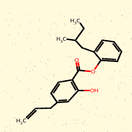 C=CCc1ccc(C(=O)Oc2ccccc2CC(C)CC)c(O)c1